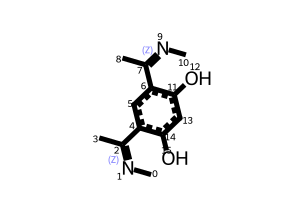 C/N=C(/C)c1cc(/C(C)=N\C)c(O)cc1O